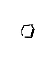 [C]1=CSOCN1